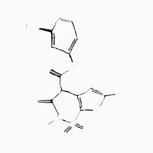 Cc1cc2c(s1)S(=O)(=O)N(C)C(=O)C2C(=O)Nc1cccc(C(F)(F)F)c1